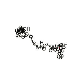 C=C(CCNC(=O)c1ccc(C2=c3cc4c5c(c3Oc3c2cc2c6c3CCCN6CCC2)CCC[N+]=5CCC4)c(C(=O)O)c1)COC(=O)NCC(C)(C)SSCOCC#Cc1cccc([C@H]2CC(OCSSC(C)(C)C)[C@@H](COP(=O)(O)OP(=O)([O-])OP(=O)(O)OC)O2)c1